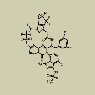 Cn1nc(NS(C)(=O)=O)c2c(Cl)ccc(-n3c([C@H](Cc4cc(F)cc(F)c4)NC(=O)Cn4nc(C(F)F)c5c4C(F)(F)[C@@H]4CC54)nc4nc(OS(=O)(=O)C(F)(F)F)ccc4c3=O)c21